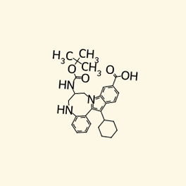 CC(C)(C)OC(=O)NC1CNc2ccccc2-c2c(C3CCCCC3)c3ccc(C(=O)O)cc3n2C1